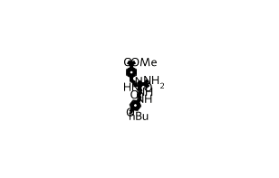 CCCCOc1ccc(NC(=O)Nc2[nH]c(Cc3ccc(C(=O)OC)cc3)nc2C(N)=O)cc1